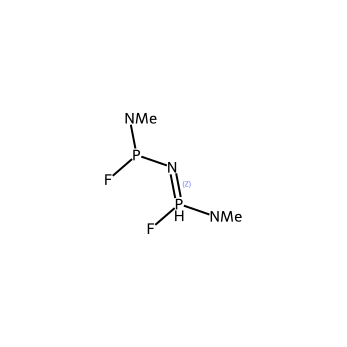 CNP(F)/N=[PH](\F)NC